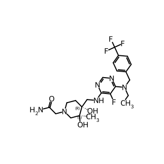 CCN(Cc1ccc(C(F)(F)F)cc1)c1ncnc(NC[C@]2(O)CCN(CC(N)=O)C[C@]2(C)O)c1F